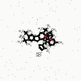 Cl.Cl.[CH2]=[Zr]([C]1=C(C)C=CC1)([c]1ccc(C)cc1)([c]1ccc(C)cc1)[c]1c2c(cc(C(C)(C)C)c1C(C)(C)C)-c1cc(C(C)(C)C)c(C(C)(C)C)cc1C2